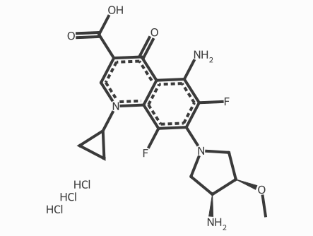 CO[C@@H]1CN(c2c(F)c(N)c3c(=O)c(C(=O)O)cn(C4CC4)c3c2F)C[C@@H]1N.Cl.Cl.Cl